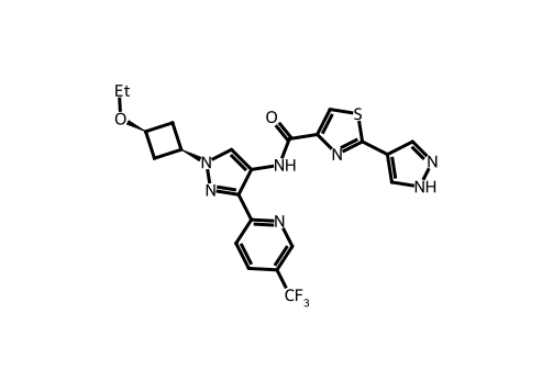 CCO[C@H]1C[C@@H](n2cc(NC(=O)c3csc(-c4cn[nH]c4)n3)c(-c3ccc(C(F)(F)F)cn3)n2)C1